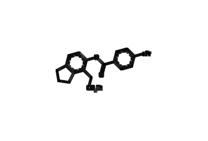 CCCc1ccc(C(=O)Oc2ccc3c(c2CC(=O)OCC)CCC3)cc1